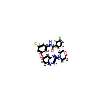 O=C(Nc1cc(F)cc(Oc2ccc3ncc(N4CCOCC4)nc3c2)c1)c1cccc(F)c1